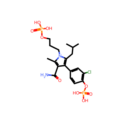 Cc1c(C(N)=O)c(-c2ccc(OP(=O)(O)O)c(Cl)c2)c(CC(C)C)n1CCCOP(=O)(O)O